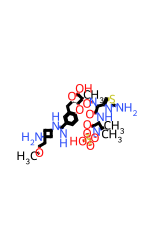 COCC[C@]1(N)C[C@@H](NC(=N)c2ccc3c(c2)CC[C@H]([C@](C)(O/N=C(\C(=O)N[C@@H]2C(=O)N(OS(=O)(=O)O)C2(C)C)c2csc(N)n2)C(=O)O)O3)C1